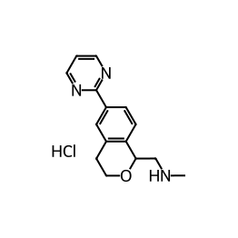 CNCC1OCCc2cc(-c3ncccn3)ccc21.Cl